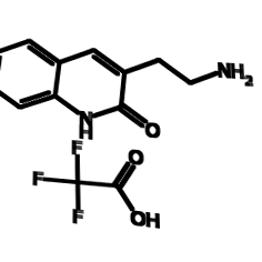 NCCc1cc2ccccc2[nH]c1=O.O=C(O)C(F)(F)F